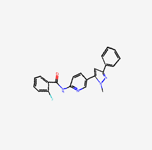 Cn1nc(-c2ccccc2)cc1-c1ccc(NC(=O)c2ccccc2F)nc1